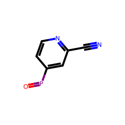 N#Cc1cc(P=O)ccn1